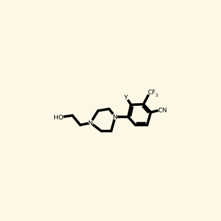 N#Cc1ccc(N2CCN(CCO)CC2)[c]([Y])c1C(F)(F)F